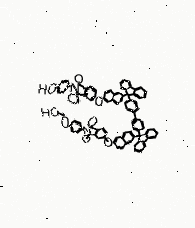 C#CCOc1ccc(N2C(=O)c3ccc(Oc4ccc5cc(C6(c7ccc(-c8ccc(C9(c%10ccc%11cc(Oc%12ccc%13c(c%12)C(=O)N(c%12ccc(O)cc%12)C%13=O)ccc%11c%10)c%10ccccc%10-c%10ccccc%109)cc8)cc7)c7ccccc7-c7ccccc76)ccc5c4)cc3C2=O)cc1